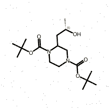 C[C@H](O)CC1CN(C(=O)OC(C)(C)C)CCN1C(=O)OC(C)(C)C